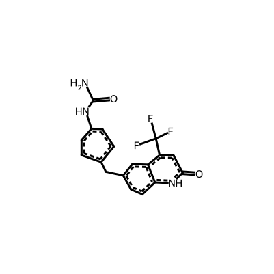 NC(=O)Nc1ccc(Cc2ccc3[nH]c(=O)cc(C(F)(F)F)c3c2)cc1